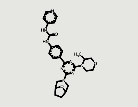 CC1COCCN1c1nc(-c2ccc(NC(=O)Nc3ccncc3)cc2)nc(N2CC3CCC(C2)O3)n1